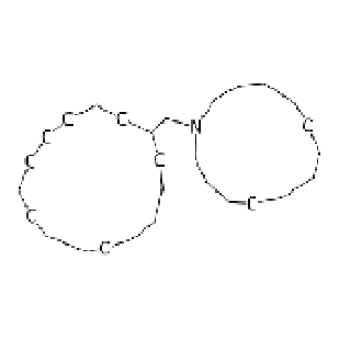 C1CCCCCCCC(CN2CCCCCCCCCCCC2)CCCCCC1